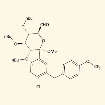 CCCCO[C@H]1[C@H](OCCCC)[C@@H](C=O)O[C@@](OC)(c2ccc(Cl)c(Cc3ccc(OC(F)(F)F)cc3)c2)[C@@H]1OCCCC